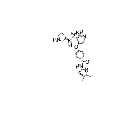 Cc1nc(NC(=O)c2ccc(Oc3ccnc4[nH]nc(N[C@@H]5CCCNC5)c34)cc2)sc1C